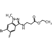 CCOC(=O)CCNc1nn(C)c2cc(Br)c(F)cc12